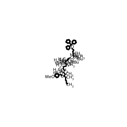 C=CC=C[C@H](C)[C@H](OCc1ccc(OC)cc1)[C@@H](C)[C@H](CC[C@H](C)C[C@@H](C)[C@@H](O[Si](C)(C)C(C)(C)C)[C@@H](C)C=C[C@H](C[C@H](O[Si](C)(C)C(C)(C)C)[C@@H](C)C=CCOC(c1ccccc1)(c1ccccc1)c1ccccc1)O[Si](C)(C)C(C)(C)C)O[Si](C)(C)C(C)(C)C